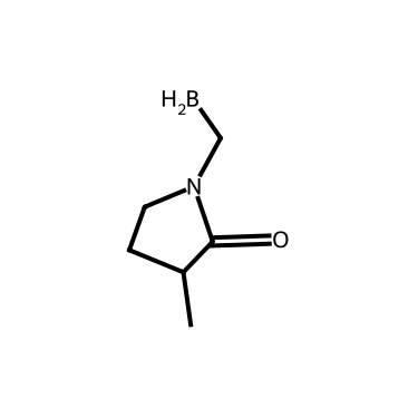 BCN1CCC(C)C1=O